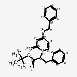 CC(C)(C)OC(=O)C(Cc1ccccc1)n1ccc(OCc2ccccc2)cc1=O